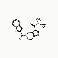 CN(C(=O)c1cnn2c1CN(C(=O)c1cc3ccccc3[nH]1)CC2)C1CC1